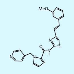 COc1cccc(C=Cc2csc(NC(=O)c3cccn3Cc3ccncc3)n2)c1